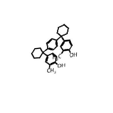 Cc1cc(C2(c3ccc(C4(c5ccc(O)c(C)c5)CCCCC4)cc3)CCCCC2)ccc1O